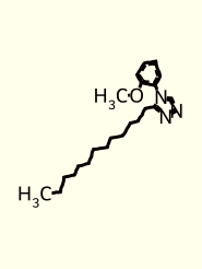 CCCCCCCCCCCCCc1nncn1-c1ccccc1OC